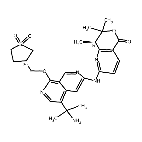 C[C@@H]1c2nc(Nc3cc4c(C(C)(C)N)cnc(OC[C@@H]5CCS(=O)(=O)C5)c4cn3)ccc2C(=O)OC1(C)C